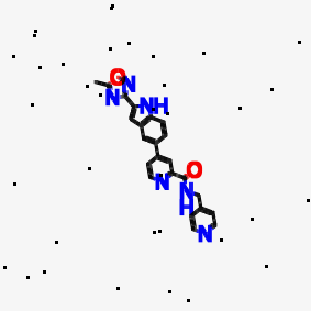 Cc1nc(-c2cc3cc(-c4ccnc(C(=O)NCc5ccncc5)c4)ccc3[nH]2)no1